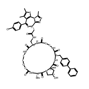 Cc1sc2c(c1C)C(c1ccc(Cl)cc1)=N[C@@H](CC(=O)NC[C@H]1NC(=O)CCNC(=O)[C@@H](Cc3ccc(-c4ccccc4)cc3)NC(=O)[C@@H]3C[C@@H](O)CN3C(=O)[C@H](C(C)(C)C)NC(=O)COCCNC1=O)c1nnc(C)n1-2